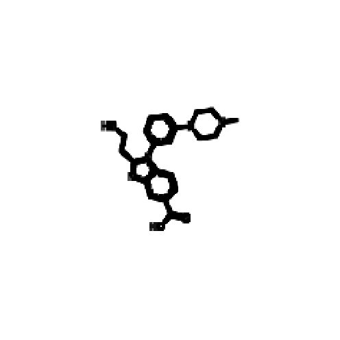 CN1CCN(c2cccc(-n3c(CCO)nc4cc(C(=O)O)ccc43)c2)CC1